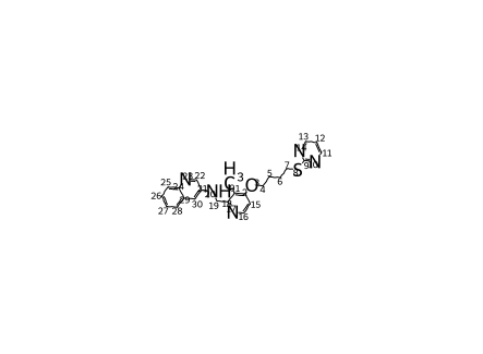 Cc1c(OCCCCSc2ncccn2)ccnc1CNc1cnc2ccccc2c1